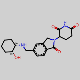 O=C1CCC(N2Cc3cc(CN[C@H]4CCCC[C@H]4O)ccc3C2=O)C(=O)N1